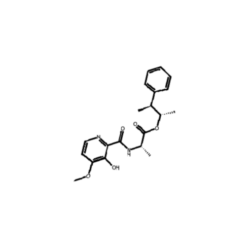 COc1ccnc(C(=O)N[C@@H](C)C(=O)O[C@@H](C)[C@@H](C)c2ccccc2)c1O